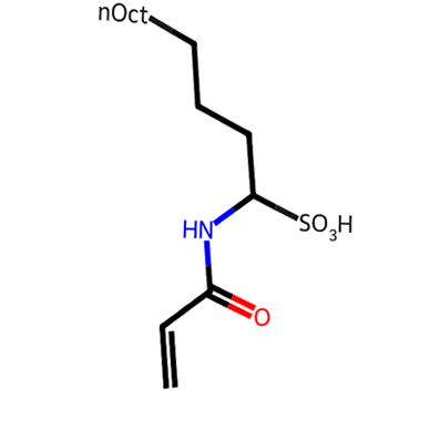 C=CC(=O)NC(CCCCCCCCCCC)S(=O)(=O)O